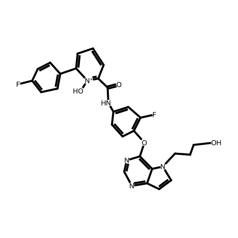 O=C(Nc1ccc(Oc2ncnc3ccn(CCCO)c23)c(F)c1)c1cccc(-c2ccc(F)cc2)[n+]1O